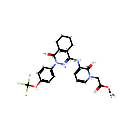 COC(=O)Cn1cccc(Nc2nn(-c3ccc(OC(F)(F)F)cc3)c(=O)c3c2CCCC3)c1=O